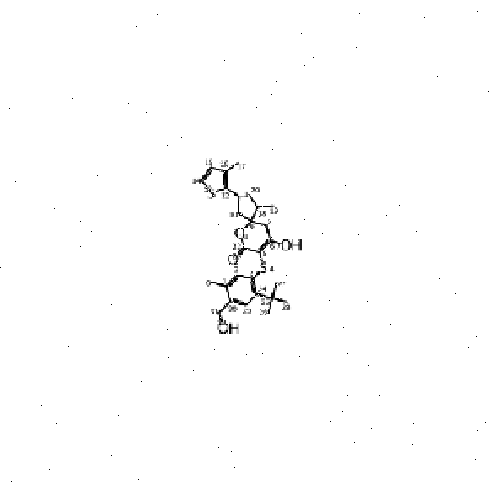 Cc1cc(SC2=C(O)CC(CCc3sccc3C)(C(C)C)OC2=O)c(C(C)(C)C)cc1CO